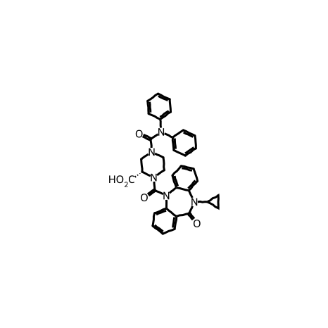 O=C(O)[C@@H]1CN(C(=O)N(c2ccccc2)c2ccccc2)CCN1C(=O)N1c2ccccc2C(=O)N(C2CC2)c2ccccc21